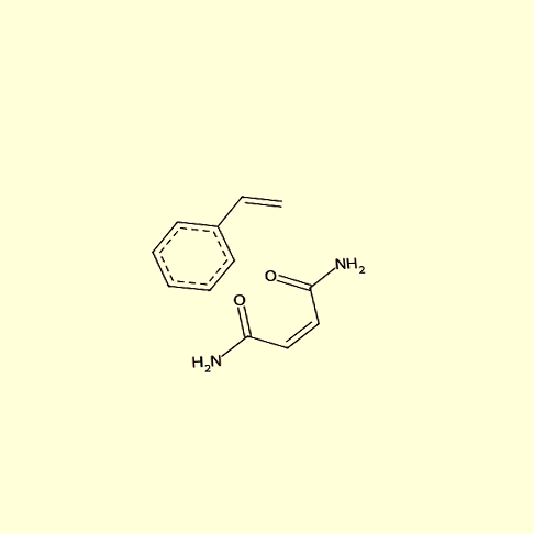 C=Cc1ccccc1.NC(=O)/C=C\C(N)=O